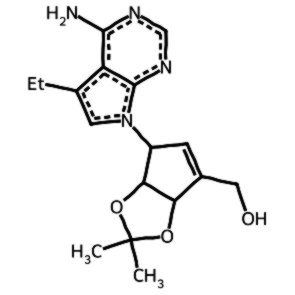 CCc1cn(C2C=C(CO)C3OC(C)(C)OC32)c2ncnc(N)c12